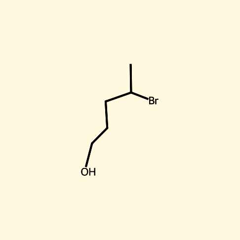 CC(Br)CCCO